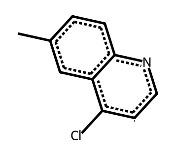 Cc1ccc2nc[c]c(Cl)c2c1